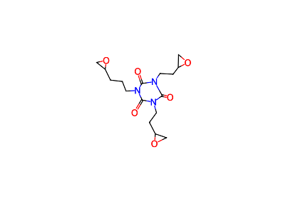 O=c1n(CCCC2CO2)c(=O)n(CCC2CO2)c(=O)n1CCC1CO1